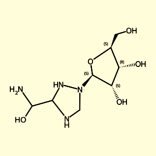 NC(O)C1NCN([C@H]2O[C@@H](CO)[C@H](O)[C@@H]2O)N1